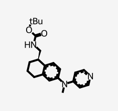 CN(c1ccncc1)c1ccc2c(c1)CCC[C@H]2CNC(=O)OC(C)(C)C